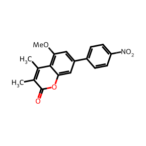 COc1cc(-c2ccc([N+](=O)[O-])cc2)cc2oc(=O)c(C)c(C)c12